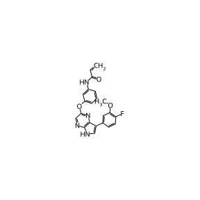 C=CC(=O)Nc1cccc(Oc2cnc3[nH]cc(-c4ccc(F)c(OC)c4)c3n2)c1